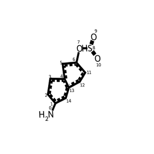 Nc1ccc2cc(O[SH](=O)=O)ccc2c1